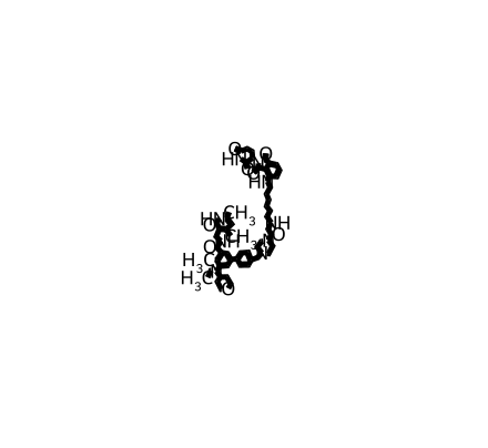 CCN(c1cc(-c2ccc(CN3CCN(C(=O)CNCCCCCCNc4cccc5c4C(=O)N(C4CCC(=O)NC4=O)C5=O)CC3)cc2)cc(C(=O)NCc2c(C)cc(C)[nH]c2=O)c1C)C1CCOCC1